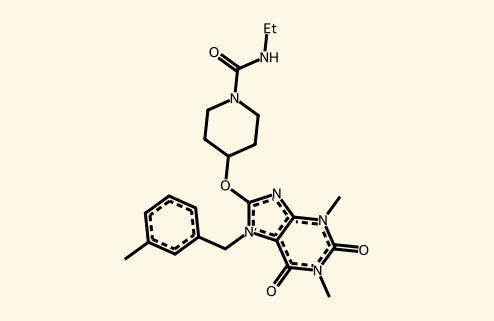 CCNC(=O)N1CCC(Oc2nc3c(c(=O)n(C)c(=O)n3C)n2Cc2cccc(C)c2)CC1